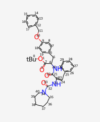 CC(C)(C)OC(=O)C(Cc1ccc(OCc2ccccc2)cc1)NC(=O)[C@@H](Cc1ccccc1)NC(=O)N1CCCCCC1